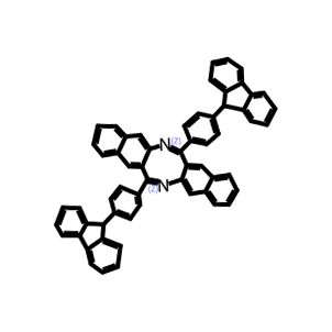 c1ccc2c(c1)-c1ccccc1C2c1ccc(/C2=N/c3cc4ccccc4cc3/C(c3ccc(C4c5ccccc5-c5ccccc54)cc3)=N\c3cc4ccccc4cc32)cc1